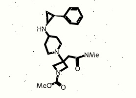 CNC(=O)CC1(N2CCC(N[C@@H]3C[C@H]3c3ccccc3)CC2)CN(C(=O)OC)C1